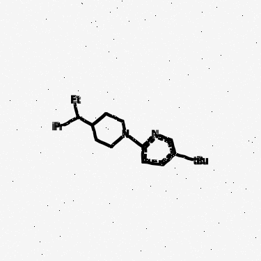 CCC(C(C)C)C1CCN(c2ccc(C(C)(C)C)cn2)CC1